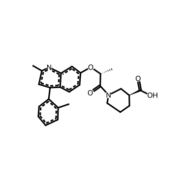 Cc1cc(-c2ccccc2C)c2ccc(O[C@H](C)C(=O)N3CCC[C@H](C(=O)O)C3)cc2n1